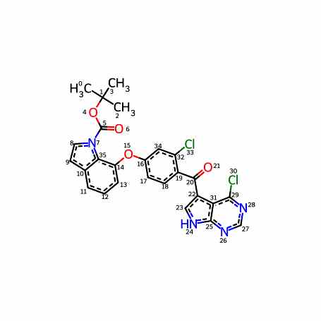 CC(C)(C)OC(=O)n1ccc2cccc(Oc3ccc(C(=O)c4c[nH]c5ncnc(Cl)c45)c(Cl)c3)c21